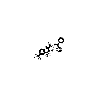 COC(=O)c1ccc2c(c1)S(=O)(=O)NC(C(=O)NCC(c1ccccc1)c1ncco1)=N2